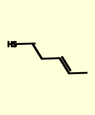 C/C=C/C[CH]S